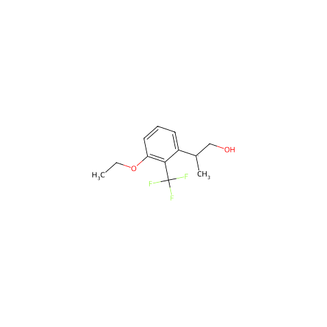 CCOc1cccc([C](C)CO)c1C(F)(F)F